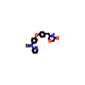 CCN(c1ccc(Oc2ccc(CC3COCC(=O)N3C)cc2)cc1)c1ccccn1